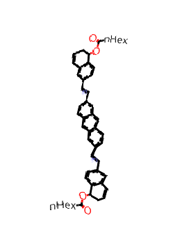 CCCCCCC(=O)OC1CC=Cc2cc(/C=C/c3ccc4cc5cc(/C=C/c6ccc7c(c6)C=CCC7OC(=O)CCCCCC)ccc5cc4c3)ccc21